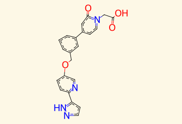 O=C(O)Cn1ccc(-c2cccc(COc3ccc(-c4ccn[nH]4)nc3)c2)cc1=O